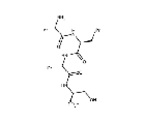 CC(C)C[C@H](NC(=O)[C@H](C)N)C(=O)N[C@H](C(=O)N[C@@H](CO)C(=O)O)C(C)C